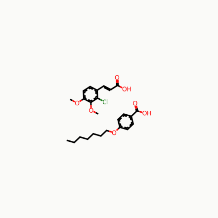 CCCCCCCOc1ccc(C(=O)O)cc1.COc1ccc(C=CC(=O)O)c(Cl)c1OC